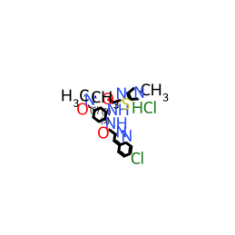 CN1Cc2nc(C(=O)N[C@@H]3C[C@@H](C(=O)N(C)C)CC[C@@H]3NC(=O)c3cc4ccc(Cl)cc4nn3)sc2C1.Cl